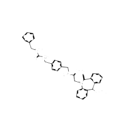 CC(=O)OC1c2ccccc2C(=O)N(CC(=O)NCc2ccc(CNC(=O)NCc3ccccc3)cc2)c2ccccc21